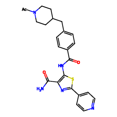 CC(=O)N1CCC(Cc2ccc(C(=O)Nc3sc(-c4ccncc4)nc3C(N)=O)cc2)CC1